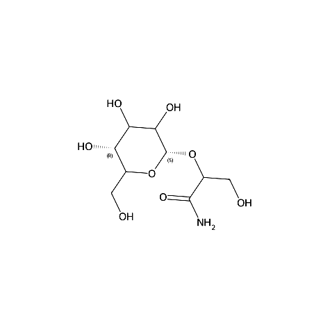 NC(=O)C(CO)O[C@@H]1OC(CO)[C@H](O)C(O)C1O